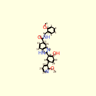 COc1ccccc1CNC(=O)c1ccc2[nH]c(-c3cc(-c4cccnc4OC)ccc3O)nc2c1